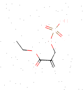 C=C(COS(=O)(=O)O)C(=O)OCC